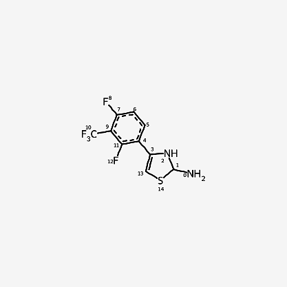 NC1NC(c2ccc(F)c(C(F)(F)F)c2F)=CS1